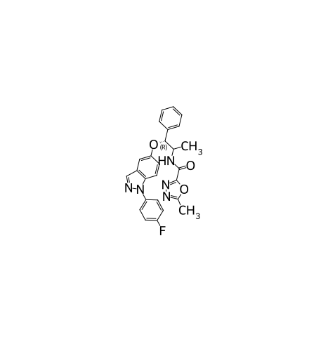 Cc1nnc(C(=O)NC(C)[C@H](Oc2ccc3c(cnn3-c3ccc(F)cc3)c2)c2ccccc2)o1